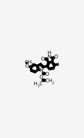 C=C(C)OC(=O)n1c(-c2ccc(I)c3c2C(=O)NC3=O)cc2cc(OC)ccc21